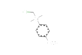 COc1ccc([Si](C)(C)CCl)cc1